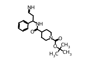 CC(C)(C)OC(=O)N1CCC(C(=O)NC(CC=N)c2ccccc2)CC1